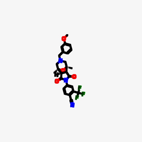 COc1cccc(CN2C[C@@]3(C)O[C@@](C)(C2)C2C(=O)N(c4ccc(C#N)c(C(F)(F)F)c4)C(=O)[C@H]23)c1